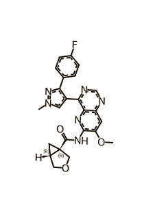 COc1cc2ncnc(-c3cn(C)nc3-c3ccc(F)cc3)c2nc1NC(=O)[C@@]12COC[C@@H]1C2